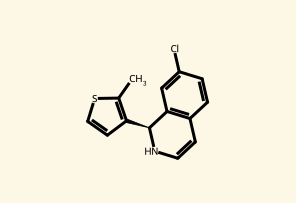 Cc1sccc1[C@@H]1NC=Cc2ccc(Cl)cc21